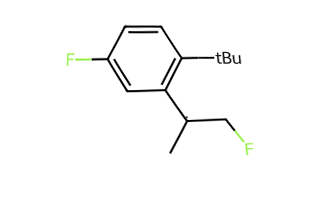 C[C](CF)c1cc(F)ccc1C(C)(C)C